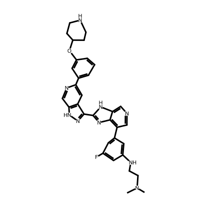 CN(C)CCNc1cc(F)cc(-c2cncc3[nH]c(-c4n[nH]c5cnc(-c6cccc(OC7CCNCC7)c6)cc45)nc23)c1